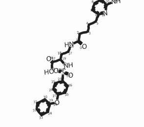 O=C(CCCCc1ccc2c(n1)NCCC2)NCCC(NS(=O)(=O)c1ccc(Oc2ccccc2)cc1)C(=O)O